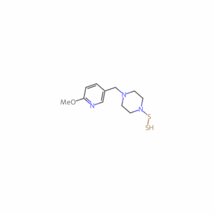 COc1ccc(CN2CCN(SS)CC2)cn1